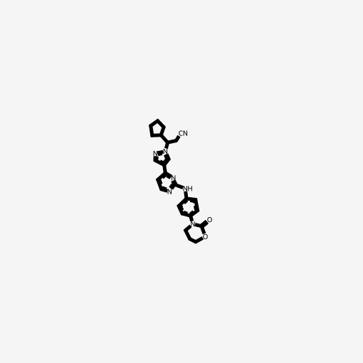 N#CCC(C1CCCC1)n1cc(-c2ccnc(Nc3ccc(N4CCCOC4=O)cc3)n2)cn1